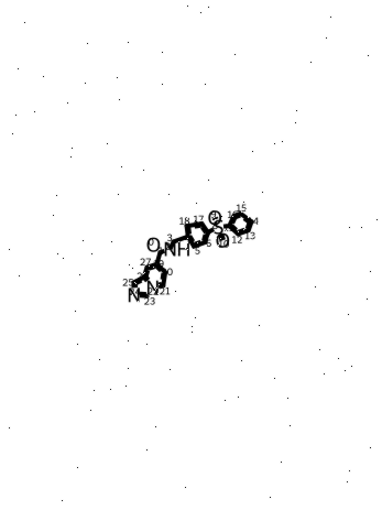 O=C(NCc1ccc(S(=O)(=O)c2ccccc2)cc1)c1ccn2cncc2c1